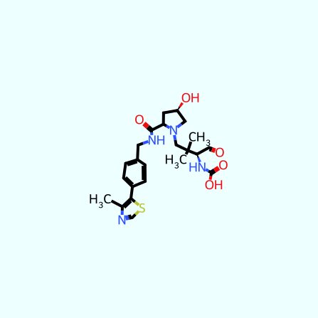 Cc1ncsc1-c1ccc(CNC(=O)C2C[C@@H](O)CN2CC(C)(C)[C@@H](C=O)NC(=O)O)cc1